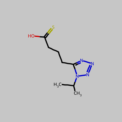 CC(C)n1nnnc1CCCC(O)=S